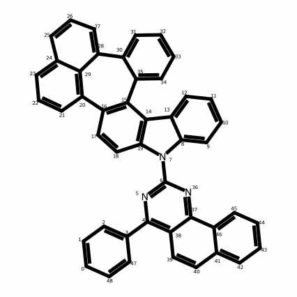 c1ccc(-c2nc(-n3c4ccccc4c4c5c(ccc43)-c3cccc4cccc(c34)-c3ccccc3-5)nc3c2ccc2ccccc23)cc1